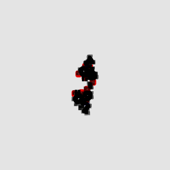 O=C1CC[C@@]2(O)[C@H]3Cc4ccc(OCCOc5ccc6c7c5O[C@H]5C(=O)CCC8[C@@H](C6)N(CC6CC6)CC[C@@]785)c5c4[C@@]2(CCN3CC2CC2)[C@H]1O5